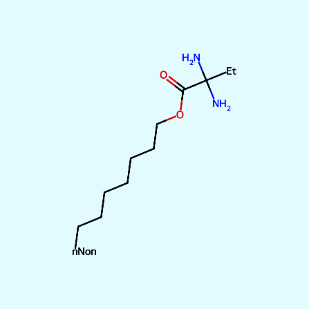 CCCCCCCCCCCCCCCCOC(=O)C(N)(N)CC